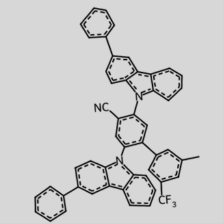 Cc1cc(-c2cc(-n3c4ccccc4c4cc(-c5ccccc5)ccc43)c(C#N)cc2-n2c3ccccc3c3cc(-c4ccccc4)ccc32)cc(C(F)(F)F)c1